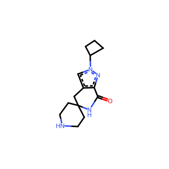 O=C1NC2(CCNCC2)Cc2cn(C3CCC3)nc21